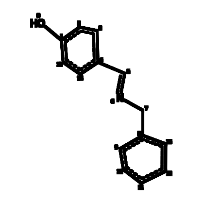 Oc1ccc(/C=N/Cc2ccccc2)cc1